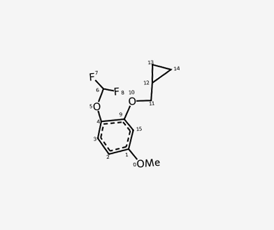 COc1ccc(OC(F)F)c(OCC2CC2)c1